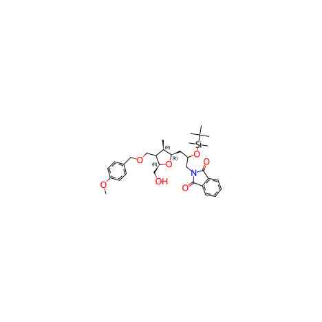 COc1ccc(COCC2[C@H](CO)O[C@H](CC(CN3C(=O)c4ccccc4C3=O)O[Si](C)(C)C(C)(C)C)[C@@H]2C)cc1